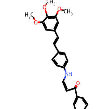 COc1cc(/C=C/c2ccc(N/C=C\C(=O)c3ccccc3)cc2)cc(OC)c1OC